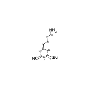 CC(C)(C)c1cc(C#N)cc(CCCCN)c1